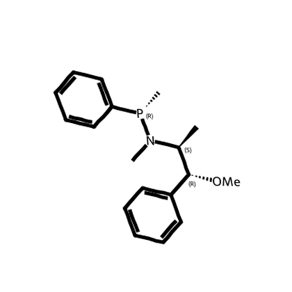 CO[C@H](c1ccccc1)[C@H](C)N(C)[P@@](C)c1ccccc1